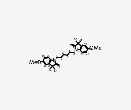 C=C1N(CCCCCCN2C(=C)C(C)(C)c3cc(OC)ccc32)c2ccc(OC)cc2C1(C)C